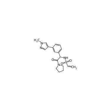 C=CS(=O)(=O)NC(C(=O)N1CCCC1)c1cccc(-c2cnn(C)c2)c1